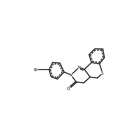 O=C1CC2CSc3ccccc3C2=NN1c1ccc(Br)cc1